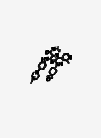 Cc1cc(-c2nc(C(N)=O)c(Nc3ccc(N4CCN(C)CC4)cc3)nc2NC2CCC3(CC2)COC3)ccn1